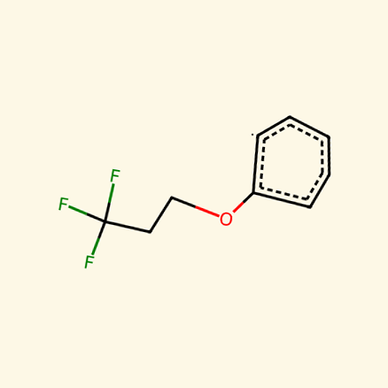 FC(F)(F)CCOc1[c]cccc1